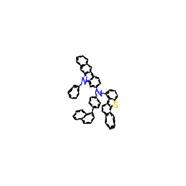 c1ccc(-n2c3cc(N(c4ccc(-c5cccc6ccccc56)cc4)c4cccc5sc6c7ccccc7ccc6c45)ccc3c3cc4ccccc4cc32)cc1